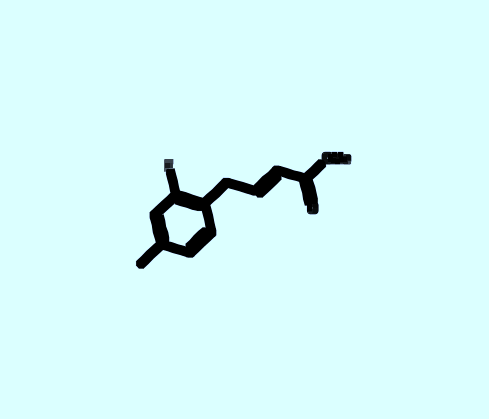 COC(=O)C=CCc1ccc(C)cc1F